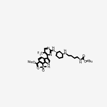 COC(=O)c1ccc2c(-c3nc(N[C@H]4CCC[C@H](NCCCCNC(=O)OC(C)(C)C)C4)ncc3C(F)(F)F)c[nH]c2c1P(C)(C)=O